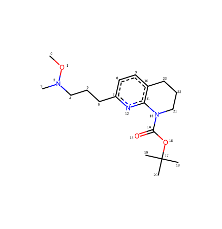 CON(C)CCCc1ccc2c(n1)N(C(=O)OC(C)(C)C)CCC2